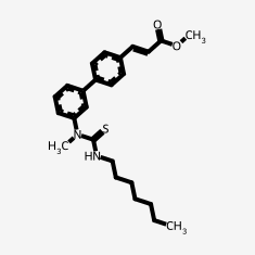 CCCCCCCNC(=S)N(C)c1cccc(-c2ccc(C=CC(=O)OC)cc2)c1